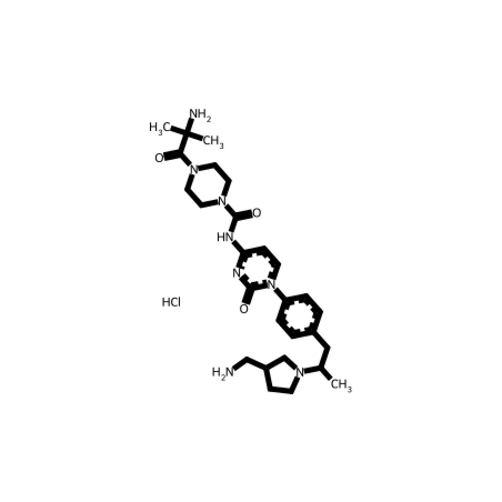 CC(Cc1ccc(-n2ccc(NC(=O)N3CCN(C(=O)C(C)(C)N)CC3)nc2=O)cc1)N1CCC(CN)C1.Cl